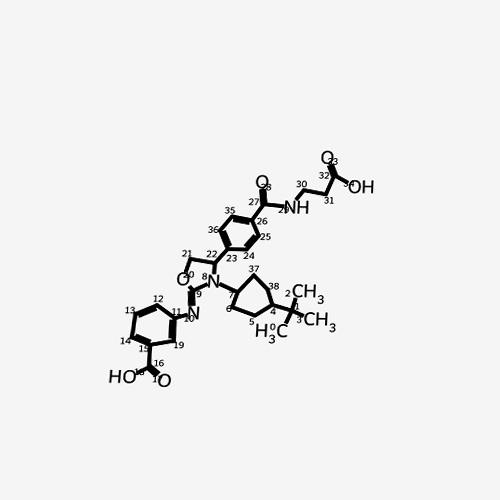 CC(C)(C)C1CCC(N2/C(=N/c3cccc(C(=O)O)c3)OCC2c2ccc(C(=O)NCCC(=O)O)cc2)CC1